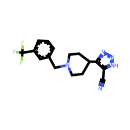 N#Cc1[nH]nnc1C1CCN(Cc2cccc(C(F)(F)F)c2)CC1